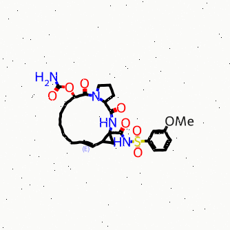 COc1cccc(S(=O)(=O)NC(=O)C23CC2/C=C/CCCCCC(OC(N)=O)C(=O)N2CCCC2C(=O)N3)c1